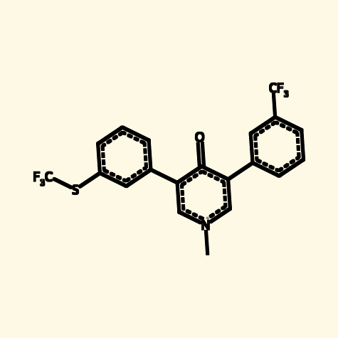 Cn1cc(-c2cccc(SC(F)(F)F)c2)c(=O)c(-c2cccc(C(F)(F)F)c2)c1